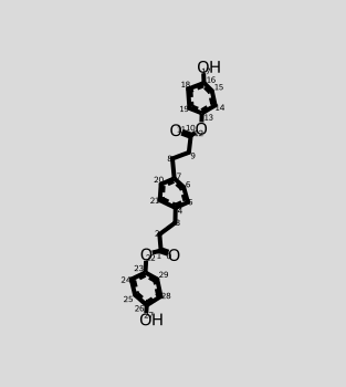 O=C(CCc1ccc(CCC(=O)Oc2ccc(O)cc2)cc1)Oc1ccc(O)cc1